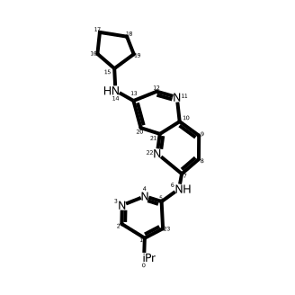 CC(C)c1cnnc(Nc2ccc3ncc(NC4CCCC4)cc3n2)c1